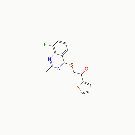 Cc1nc(SCC(=O)c2cccs2)c2cccc(F)c2n1